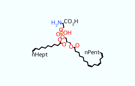 CCCCC/C=C\C/C=C\C/C=C\CCCCCCC(=O)OC[C@H](COP(=O)(O)OC[C@H](N)C(=O)O)OC(=O)CCCCCCC/C=C\CCCCCCC